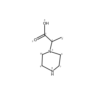 [CH2]C(C(=O)O)N1CCNCC1